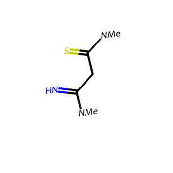 CNC(=N)CC(=S)NC